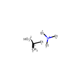 C=C(CC)C(=O)O.CCN(CC)CC